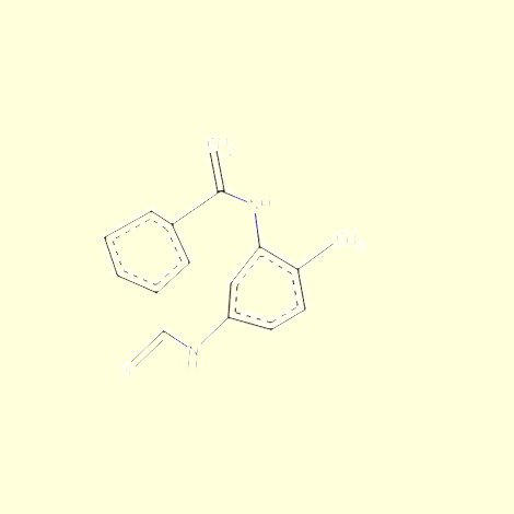 C=C(Nc1cc(NC=S)ccc1C)c1ccccc1